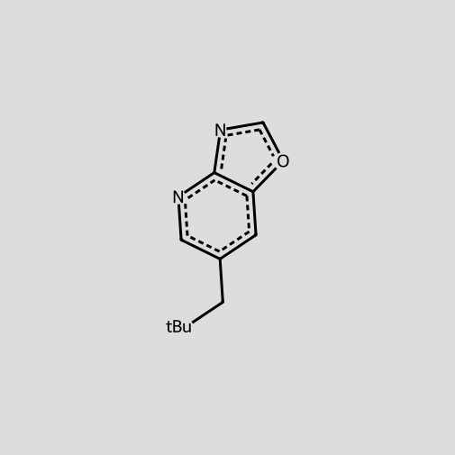 CC(C)(C)Cc1cnc2ncoc2c1